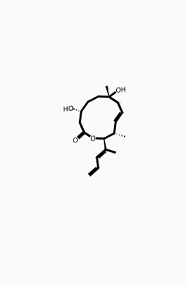 C=C/C=C(\C)[C@H]1OC(=O)C[C@H](O)CC[C@](C)(O)[CH]/C=C/[C@@H]1C